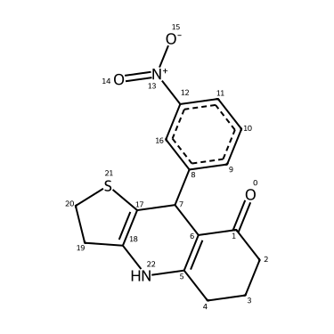 O=C1CCCC2=C1C(c1cccc([N+](=O)[O-])c1)C1=C(CCS1)N2